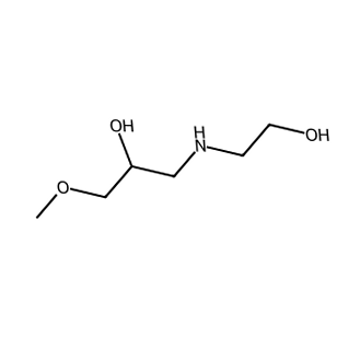 COCC(O)CNCCO